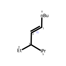 CCCC/C=C/C(CC)C(C)C